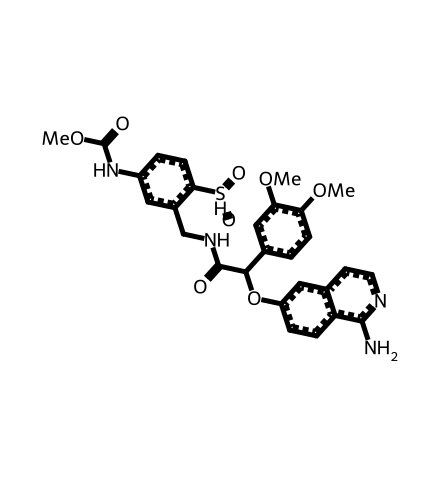 COC(=O)Nc1ccc([SH](=O)=O)c(CNC(=O)C(Oc2ccc3c(N)nccc3c2)c2ccc(OC)c(OC)c2)c1